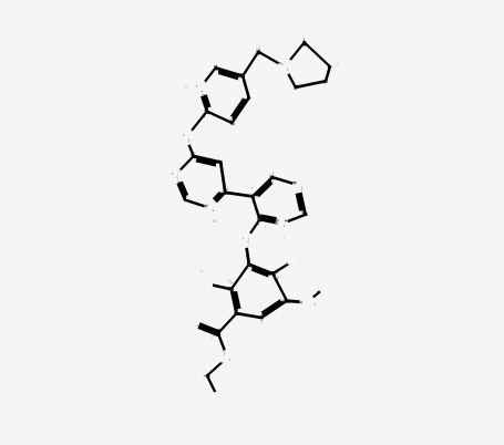 CCNC(=O)c1cc(OC)c(Cl)c(Nc2ncncc2-c2cc(Nc3ccc(CN4CCCC4)cn3)ncn2)c1C